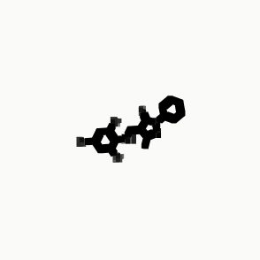 CC1=NN(c2ccccc2)C(=S)/C1=C/Nc1c(Br)cc(Br)cc1Br